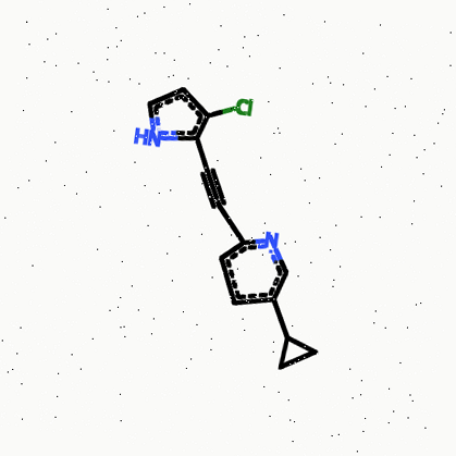 Clc1cc[nH]c1C#Cc1ccc(C2CC2)cn1